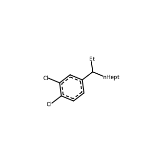 CCCCCCCC(CC)c1ccc(Cl)c(Cl)c1